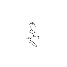 CC(C)CC1CC(C(=S)NC2CC2)C1